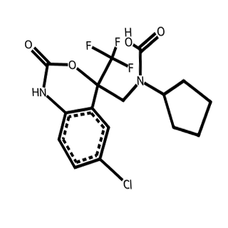 O=C1Nc2ccc(Cl)cc2C(CN(C(=O)O)C2CCCC2)(C(F)(F)F)O1